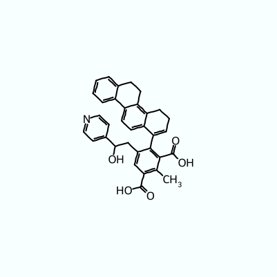 Cc1c(C(=O)O)cc(CC(O)c2ccncc2)c(C2=CCCc3c2ccc2c3CCc3ccccc3-2)c1C(=O)O